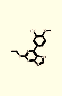 CCSc1nc(-c2ccc(OC)c(O)c2)c2[nH]cnc2n1